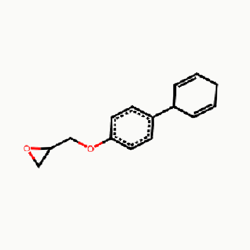 C1=CC(c2ccc(OCC3CO3)cc2)C=CC1